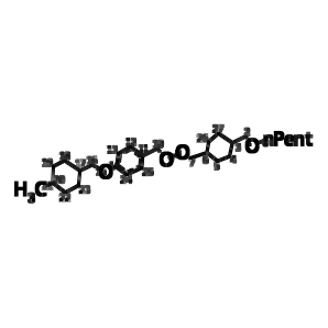 [CH2+][CH-]CCCOCC1CCC(COOCc2ccc(OCC3CCC(C)CC3)cc2)CC1